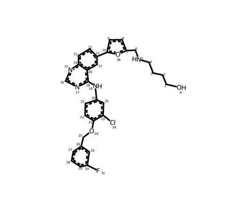 OCCCCNCc1ccc(-c2ccc3ncnc(Nc4ccc(OCc5cccc(F)c5)c(Cl)c4)c3c2)o1